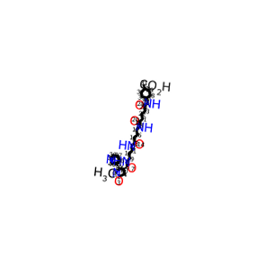 CN1C(=O)C[C@H](C(=O)NCCCNC(=O)CCCNC(=O)CCCC(=O)NC2CCC(C(=O)O)CC2)[C@H]1c1cccnc1